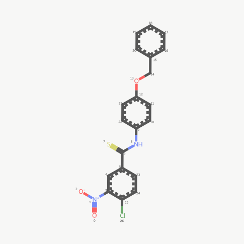 O=[N+]([O-])c1cc(C(=S)Nc2ccc(OCc3ccccc3)cc2)ccc1Cl